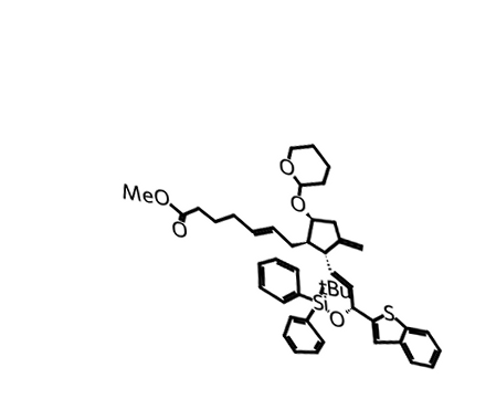 C=C1C[C@H](OC2CCCCO2)[C@H](CC=CCCCC(=O)OC)[C@H]1C=C[C@@H](O[Si](c1ccccc1)(c1ccccc1)C(C)(C)C)c1cc2ccccc2s1